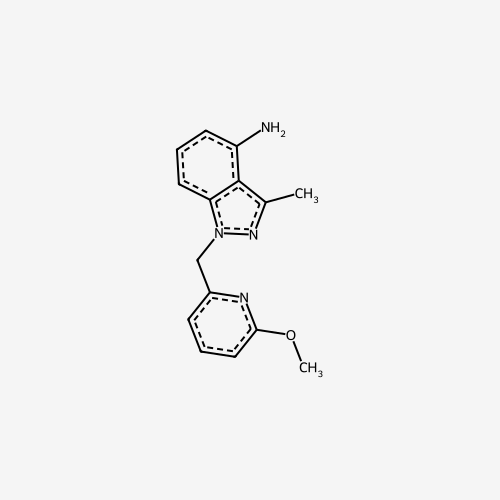 COc1cccc(Cn2nc(C)c3c(N)cccc32)n1